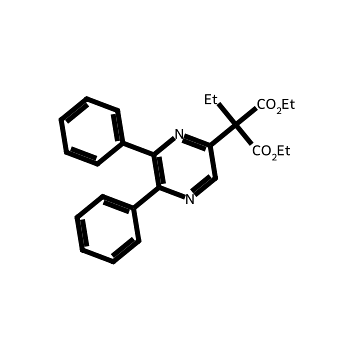 CCOC(=O)C(CC)(C(=O)OCC)c1cnc(-c2ccccc2)c(-c2ccccc2)n1